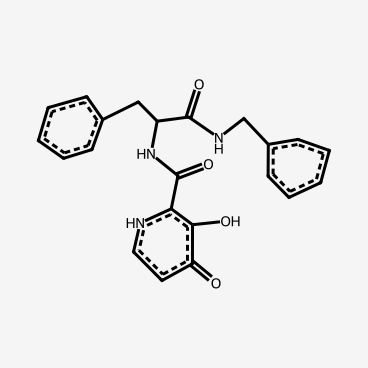 O=C(NC(Cc1ccccc1)C(=O)NCc1ccccc1)c1[nH]ccc(=O)c1O